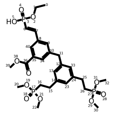 CCOP(=O)(O)/C=C/c1cc(Cc2cc(CCP(=O)(OC)OC)cc(CCP(=O)(OC)OC)c2)cc(C(=O)OC)c1